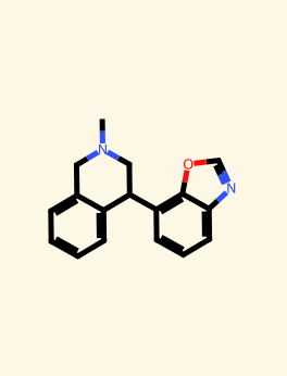 CN1Cc2ccccc2C(c2cccc3ncoc23)C1